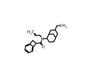 C=CCN(C(=O)C1Cc2ccccc21)C1CCC2CC(CC)CC1C2